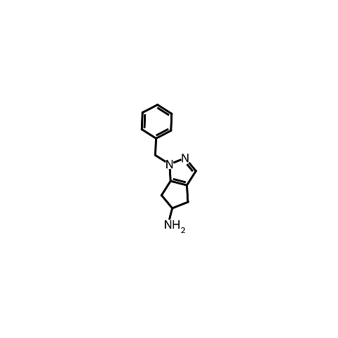 NC1Cc2cnn(Cc3ccccc3)c2C1